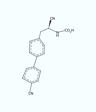 N#Cc1ccc(-c2ccc(C[C@@H](C#N)NC(=O)O)cc2)cc1